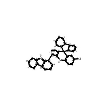 Clc1ccc2c(c1)C1(c3ccccc3-c3ccccc31)c1cccc(-c3cccc4c3oc3ccccc34)c1S2